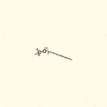 CCCCC=CCC=CCCCCCCCCC(=O)Oc1ccc(C(CNC(C)C)CS(=O)(=O)O)cc1O